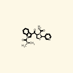 CN(C)C(=O)n1cc(C(=O)C2CSC(c3cccnc3)N2C(N)=O)c2ccccc21